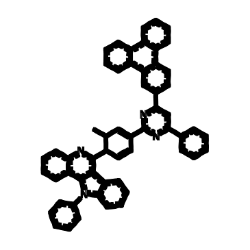 CC1C=C(c2nc(-c3ccccc3)cc(-c3ccc4c5ccccc5c5ccccc5c4c3)n2)C=CC1c1nc2ccccc2c2c1c1ccccc1n2-c1ccccc1